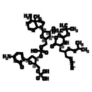 CC(C)SSC(CN=[N+]=[N-])C[C@H](NC(=O)OC(C)(C)C)C(=O)O[C@H]1[C@@H](O)[C@H](N2C=NC3(C)C(N)=NC=NC23)O[C@@H]1COP(=O)(O)O[C@H]1C[C@H](n2ccc(N)nc2=O)O[C@@H]1COP(=O)(O)O